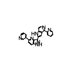 c1cc(-c2ccc3[nH]nc(-c4cc5c(-c6ccccn6)nccc5[nH]4)c3n2)cnc#1